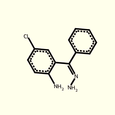 NN=C(c1ccccc1)c1cc(Cl)ccc1N